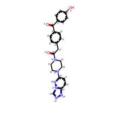 O=C(c1ccc(O)cc1)c1ccc(CC(=O)N2CCN(c3ccc4nncn4n3)CC2)cc1